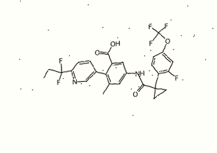 CCC(F)(F)c1ccc(-c2c(C)cc(NC(=O)C3(c4ccc(OC(F)(F)F)cc4F)CC3)cc2C(=O)O)cn1